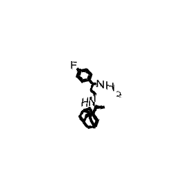 CC(NCCC(N)c1ccc(F)cc1)C12CC3CC(CC(C3)C1)C2